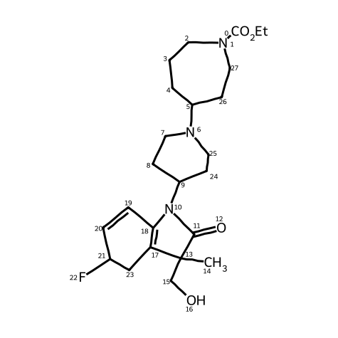 CCOC(=O)N1CCCC(N2CCC(N3C(=O)C(C)(CO)C4=C3C=CC(F)C4)CC2)CC1